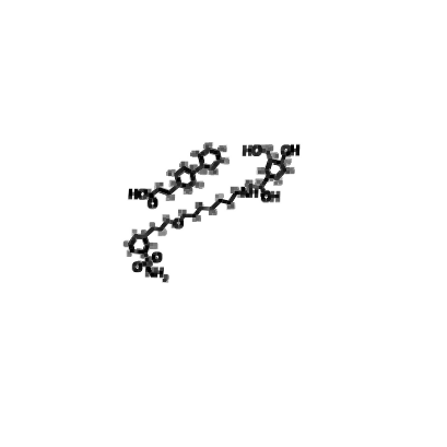 NS(=O)(=O)c1cccc(CCCOCCCCCCCNC[C@H](O)c2ccc(O)c(CO)c2)c1.O=C(O)/C=C/c1ccc(-c2ccccc2)cc1